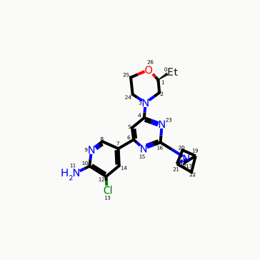 CC[C@H]1CN(c2cc(-c3cnc(N)c(Cl)c3)nc(N3CC4CC3C4)n2)CCO1